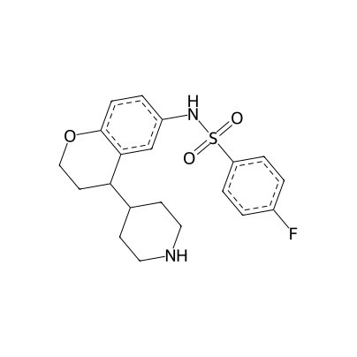 O=S(=O)(Nc1ccc2c(c1)C(C1CCNCC1)CCO2)c1ccc(F)cc1